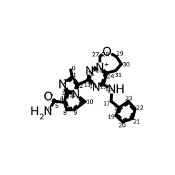 Cc1nc2c(C(N)=O)cccn2c1-c1nc(NCc2ccccc2)c2[n+](n1)COCCC2